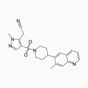 Cc1cc2ncccc2cc1C1CCN(S(=O)(=O)c2cnn(C)c2CC#N)CC1